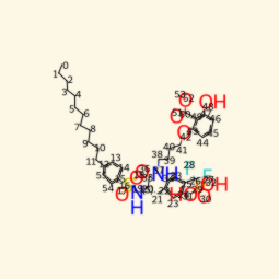 CCCCCCCCCCCCc1ccc(S(=O)(=O)N[C@@H](Cc2ccc(C(F)(F)P(=O)(O)O)cc2)C(=O)NCCCCOc2cccc(O)c2C(=O)OC)cc1